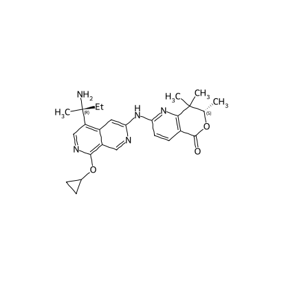 CC[C@@](C)(N)c1cnc(OC2CC2)c2cnc(Nc3ccc4c(n3)C(C)(C)[C@H](C)OC4=O)cc12